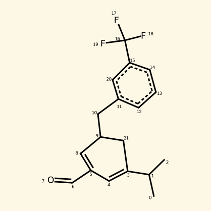 CC(C)C1=CC(C=O)=CC(Cc2cccc(C(F)(F)F)c2)C1